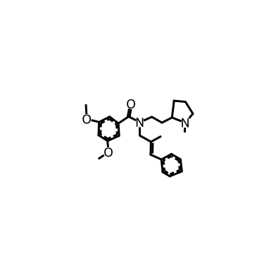 COc1cc(OC)cc(C(=O)N(CCC2CCCN2C)CC(C)=Cc2ccccc2)c1